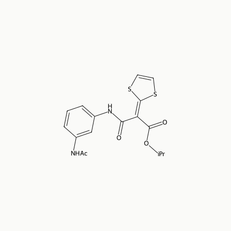 CC(=O)Nc1cccc(NC(=O)C(C(=O)OC(C)C)=C2SC=CS2)c1